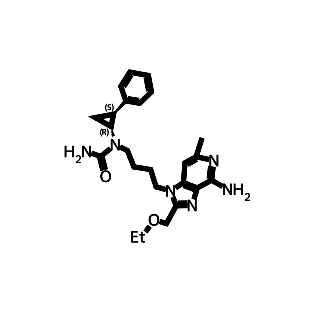 CCOCc1nc2c(N)nc(C)cc2n1CCCCN(C(N)=O)[C@@H]1C[C@H]1c1ccccc1